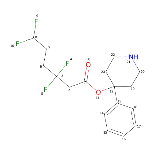 O=C(CC(F)(F)CCC(F)F)OC1(c2ccccc2)CCNCC1